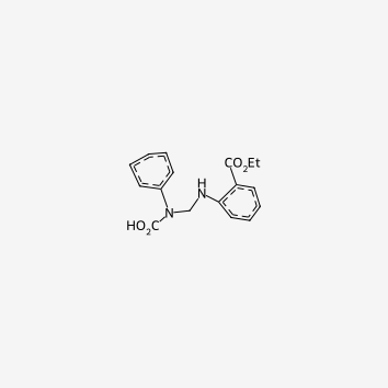 CCOC(=O)c1ccccc1NCN(C(=O)O)c1ccccc1